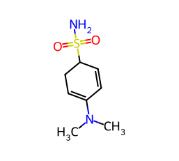 CN(C)C1=CCC(S(N)(=O)=O)C=C1